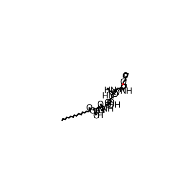 CCCCCCCCCCCCCCCC(=O)OC[C@H](CNC(=O)[C@H](COP(=O)(O)OCCNC(=O)[C@@H](NC(=O)Cc1c[nH]c2ccc(OCc3ccccc3)cc12)[C@@H](C)CC)NC(C)=O)OC=O